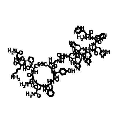 CN(C(=O)[C@H](Cc1cnc[nH]1)NC(=O)[C@@H](N)Cc1cnc[nH]1)[C@@H](Cc1cnc[nH]1)C(=O)NC(Cc1cnc[nH]1)C(=O)N[C@@H](Cc1cnc[nH]1)C(=O)N[C@@H](Cc1cnc[nH]1)C(=O)NCC(=O)NCC(=O)NCC(=O)N[C@H]1CSSC[C@@H](C(=O)N2CCC[C@H]2C(=O)N[C@@H](CCCCN)C(=O)NCC(N)=O)NC(=O)[C@H](CC(N)=O)NC(=O)[C@H](CCC(N)=O)NC(=O)[C@H](Cc2ccccc2)NC(=O)[C@H]2C(c3ccc(O)cc3)N2C1=O